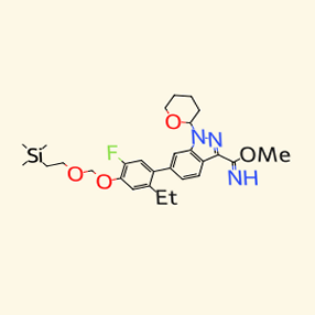 CCc1cc(OCOCC[Si](C)(C)C)c(F)cc1-c1ccc2c(C(=N)OC)nn(C3CCCCO3)c2c1